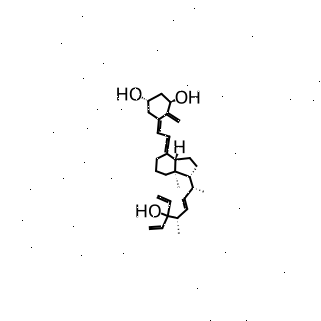 C=CC(O)(C=C)[C@@H](C)/C=C/[C@@H](C)[C@H]1CC[C@H]2/C(=C/C=C3/C[C@H](O)C[C@@H](O)C3=C)CCC[C@]12C